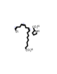 CC/C=C\C/C=C\C/C=C\CCCCCCCC(=O)O.O=C(O)C1CCCN1